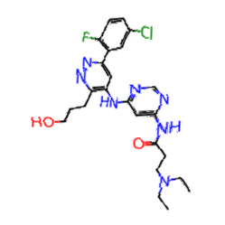 CCN(CC)CCC(=O)Nc1cc(Nc2cc(-c3cc(Cl)ccc3F)nnc2CCCO)ncn1